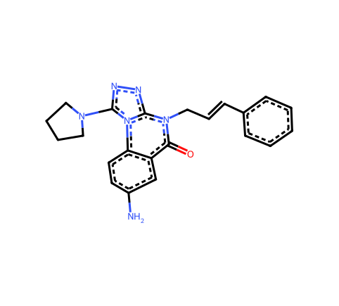 Nc1ccc2c(c1)c(=O)n(CC=Cc1ccccc1)c1nnc(N3CCCC3)n21